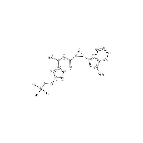 CC(NC(=O)C1CC1c1cn(C)c2ccccc12)c1cnc(OCC(F)(F)F)s1